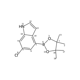 CC1(C)OB(c2cc(Cl)cc3[nH]ccc23)OC1(C)C